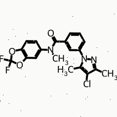 Cc1nn(-c2cccc(C(=O)N(C)c3ccc4c(c3)OC(F)(F)O4)c2)c(C)c1Cl